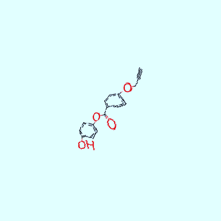 C#CCOc1ccc(C(=O)Oc2ccc(O)cc2)cc1